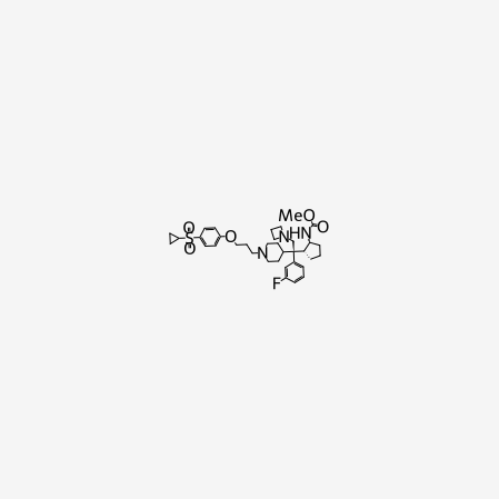 COC(=O)N[C@H]1CCC[C@@H]1[C@](CN1CCC1)(c1cccc(F)c1)C1CCN(CCCOc2ccc(S(=O)(=O)C3CC3)cc2)CC1